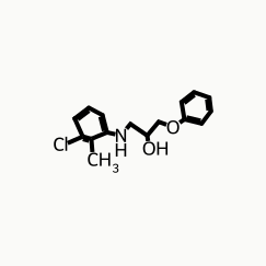 Cc1c(Cl)cccc1NCC(O)COc1ccccc1